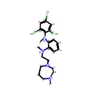 CN1CCCN(CCN(C)c2ccccc2N(C)c2c(F)cc(F)cc2F)CC1